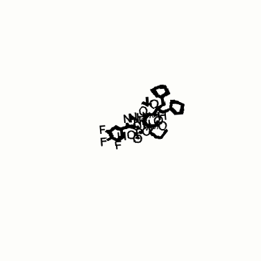 CC1(C)O[C@@H]2[C@H](n3cc(-c4cc(F)c(F)c(F)c4)nn3)[C@@H](OP(=O)(O)O)[C@]3(CCCCO3)O[C@H]2C(Cc2ccccc2)(Cc2ccccc2)O1